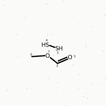 COC=O.SS